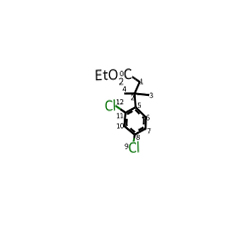 CCOC(=O)CC(C)(C)c1ccc(Cl)cc1Cl